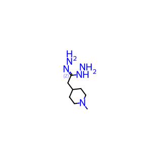 CN1CCC(C/C(=N/N)NN)CC1